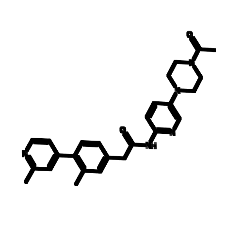 CC(=O)N1CCN(c2ccc(NC(=O)Cc3ccc(-c4ccnc(C)c4)c(C)c3)nc2)CC1